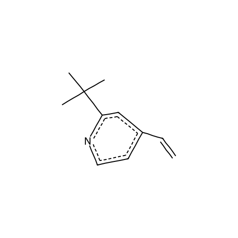 C=Cc1ccnc(C(C)(C)C)c1